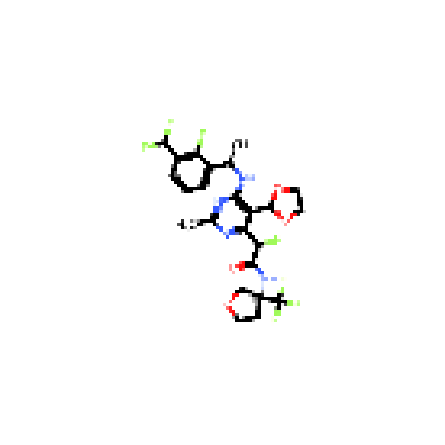 Cc1nc(N[C@H](C)c2cccc(C(F)F)c2F)c(C2OCCO2)c(C(F)C(=O)N[C@]2(C(F)(F)F)CCOC2)n1